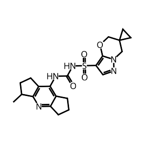 CC1CCc2c1nc1c(c2NC(=O)NS(=O)(=O)c2cnn3c2OCC2(CC2)C3)CCC1